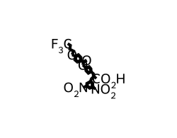 O=C(O)/C(=C/c1ccc(OC(=O)c2ccc(OCCCC(F)(F)F)cc2)cc1)Cc1cc([N+](=O)[O-])cc([N+](=O)[O-])c1